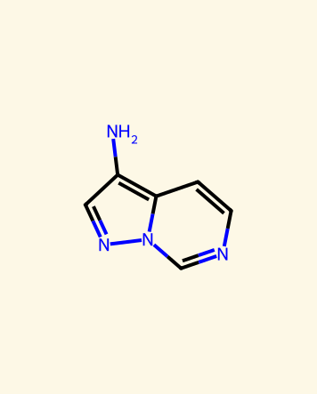 Nc1cnn2cnccc12